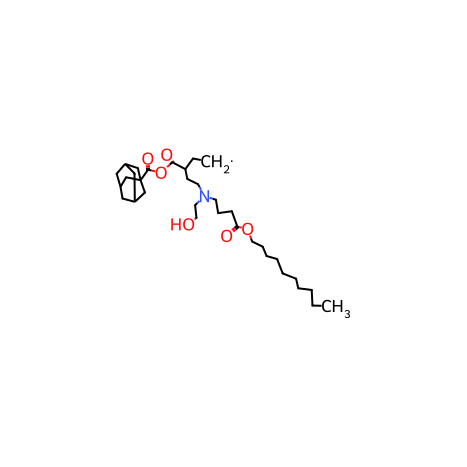 [CH2]CC(CCN(CCO)CCCC(=O)OCCCCCCCCCC)C(=O)OC(=O)C12CC3CC(CC(C3)C1)C2